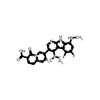 CNc1cc(F)c(F)c2c1[nH]c1ncc(-c3ccc4ccc(C(=O)O)c(=O)n4c3)c(N(C)C)c12